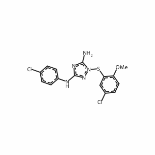 COc1ccc(Cl)cc1Sn1nc(Nc2ccc(Cl)cc2)nc1N